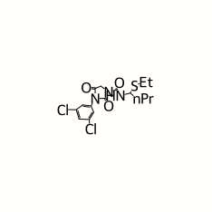 CCCC(NC(=O)N1CC(=O)N(c2cc(Cl)cc(Cl)c2)C1=O)SCC